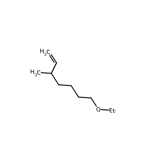 C=CC(C)CCCCO[CH]C